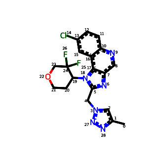 Cc1cn(Cc2nc3cnc4ccc(Cl)cc4c3n2C2CCOCC2(F)F)nn1